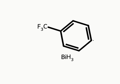 FC(F)(F)c1cc[c]cc1.[BiH3]